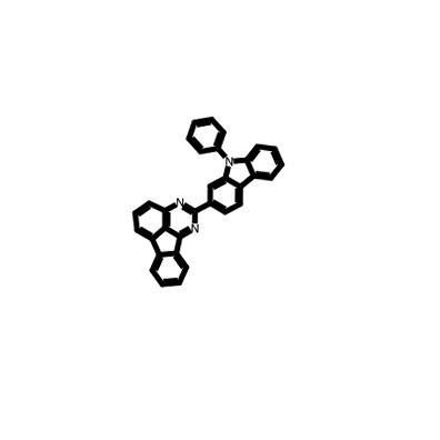 c1ccc(-n2c3ccccc3c3ccc(-c4nc5c6c(cccc6n4)-c4ccccc4-5)cc32)cc1